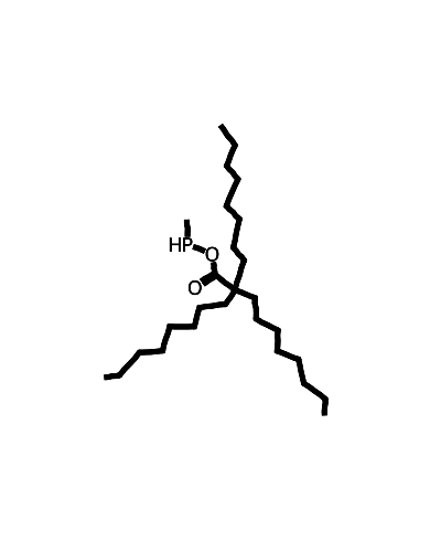 CCCCCCCCC(CCCCCCCC)(CCCCCCCC)C(=O)OPC